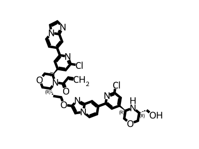 C=CC(=O)N1[C@H](CCOc2cn3ccc(-c4cc([C@@H]5COC[C@@H](CO)N5)cc(Cl)n4)cc3n2)COC[C@H]1c1cc(Cl)nc(-c2ccn3ccnc3c2)c1